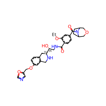 CCOc1cc(C(=O)N2C3CCC2COC3)ccc1C(=O)NC[C@@H](O)[C@@H]1Cc2ccc(OCc3cnco3)cc2CN1